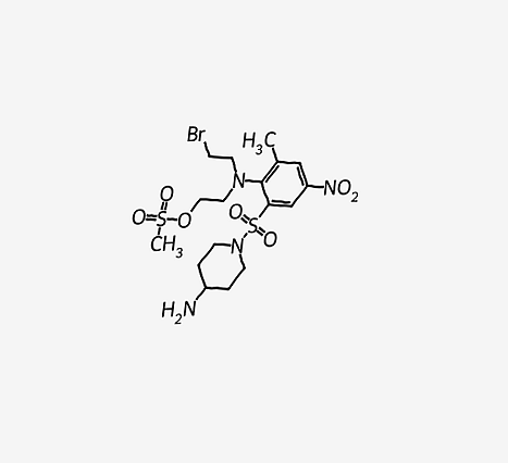 Cc1cc([N+](=O)[O-])cc(S(=O)(=O)N2CCC(N)CC2)c1N(CCBr)CCOS(C)(=O)=O